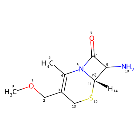 COCC1=C(C)N2C(=O)C(N)[C@@H]2SC1